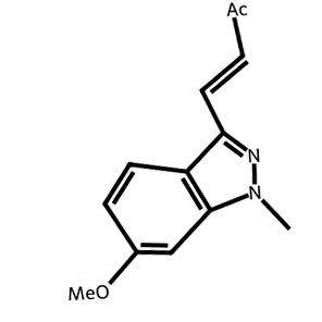 COc1ccc2c(/C=C/C(C)=O)nn(C)c2c1